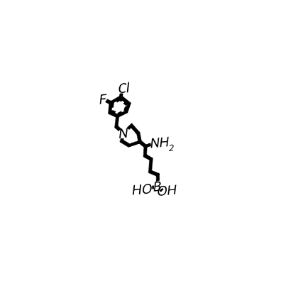 NC(CCCCB(O)O)C1CCN(Cc2ccc(Cl)c(F)c2)CC1